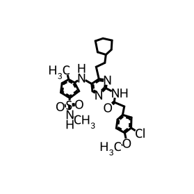 CNS(=O)(=O)c1ccc(C)c(Nc2cnc(NC(=O)Cc3ccc(OC)c(Cl)c3)nc2CCC2CCCCC2)c1